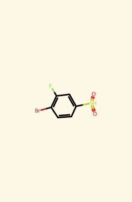 O=[SH](=O)c1ccc(Br)c(F)c1